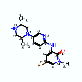 C[C@@H]1CN(c2ccc(Nc3cc(Br)cn(C)c3=O)nc2)[C@@H](C)CN1